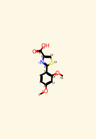 COc1ccc(-c2nc(C(=O)O)cs2)c(OC)c1